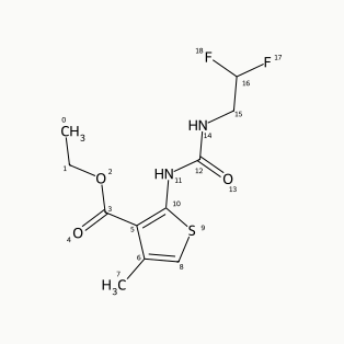 CCOC(=O)c1c(C)csc1NC(=O)NCC(F)F